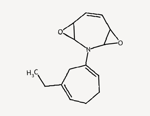 CCC1=CCCC=C(N2C3OC3C=CC3OC32)C1